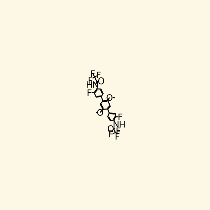 COc1cc(-c2ccc(NC(=O)C(F)(F)F)c(F)c2)c(OC)cc1-c1ccc(NC(=O)C(F)(F)F)c(F)c1